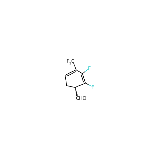 O=C[C@H]1CC=C(C(F)(F)F)C(F)=C1F